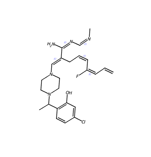 C=C/C=C(F)\C=C/CC(=C\N1CCN(C(C)c2ccc(Cl)cc2O)CC1)/C(N)=N\C=N/C